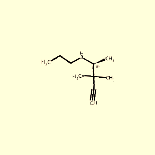 C#CC(C)(C)[C@H](C)BCCC